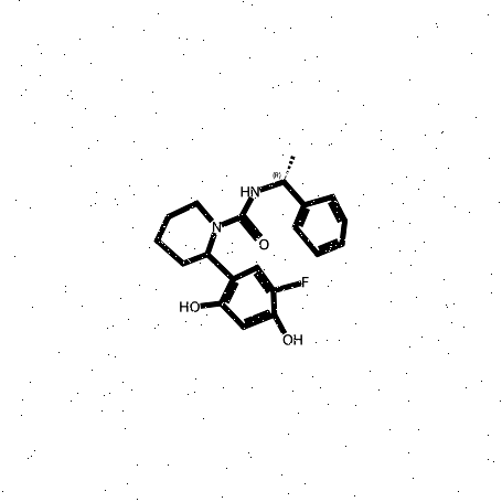 C[C@@H](NC(=O)N1CCCCC1c1cc(F)c(O)cc1O)c1ccccc1